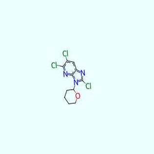 Clc1cc2nc(Cl)n(C3CCCCO3)c2nc1Cl